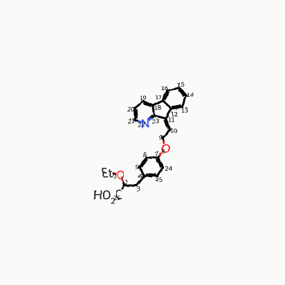 CCOC(Cc1ccc(OCC=C2c3ccccc3-c3cccnc32)cc1)C(=O)O